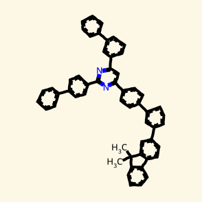 CC1(C)c2ccccc2-c2ccc(-c3cccc(-c4ccc(-c5cc(-c6cccc(-c7ccccc7)c6)nc(-c6ccc(-c7ccccc7)cc6)n5)cc4)c3)cc21